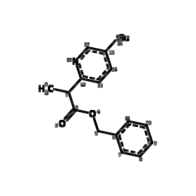 CC(C(=O)OCc1ccccc1)c1ccc(C(C)(C)C)cn1